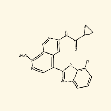 CNc1ncc(-c2nc3cccc(Cl)c3o2)c2cc(NC(=O)C3CC3)ncc12